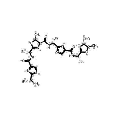 CCC(C)[C@H](NC(=O)c1csc([C@H](NC(=O)[C@H]2N=C(C(NC(=O)c3csc([C@H](N)C(C)C)n3)[C@@H](C)CC)O[C@@H]2C)C(C)C)n1)C1=N[C@H](C=O)[C@@H](C)O1